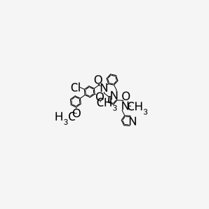 COc1cccc(-c2cc(OC)c(C(=O)N3Cc4ccc(C(=O)N(C)Cc5cccnc5)n4Cc4ccccc43)cc2Cl)c1